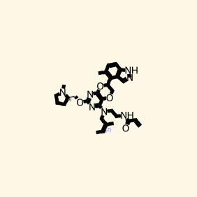 C=CC(=O)NCCN(C/C(C)=C\C)c1nc(OC[C@@H]2CCCN2C)nc2c1OCC(c1c(C)ccc3[nH]ncc13)O2